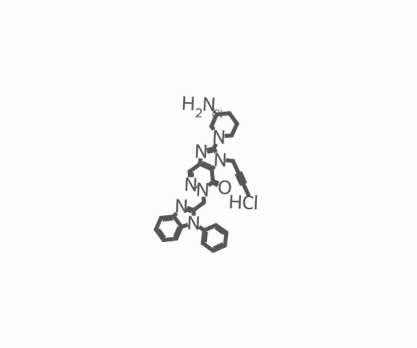 CC#CCn1c(N2CCC[C@@H](N)C2)nc2cnn(Cc3nc4ccccc4n3-c3ccccc3)c(=O)c21.Cl